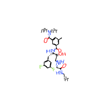 CCCN(CCC)C(=O)c1cc(C)cc(C(=O)N[C@@H](Cc2cc(F)cc(F)c2)[C@H](O)CNCC(=O)NCC(C)C)c1